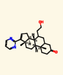 C[C@]12CCC(=O)CC1CC(CCO)[C@@H]1[C@H]2CC[C@]2(C)C(c3ncccn3)=CC[C@@H]12